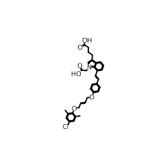 Cc1cc(Cl)cc(C)c1OC/C=C/COc1ccc(/C=C/c2cccc3c(CCCC(=O)O)cn(CC(=O)O)c23)cc1